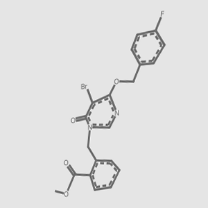 COC(=O)c1ccccc1Cn1cnc(OCc2ccc(F)cc2)c(Br)c1=O